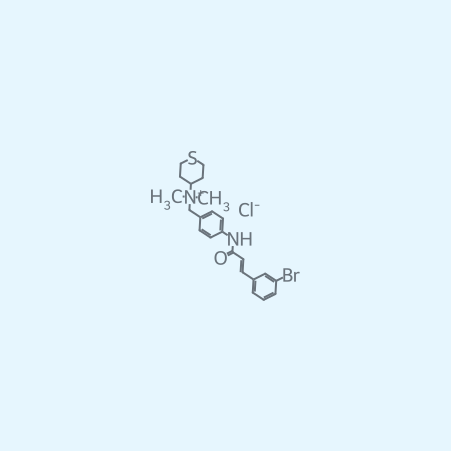 C[N+](C)(Cc1ccc(NC(=O)C=Cc2cccc(Br)c2)cc1)C1CCSCC1.[Cl-]